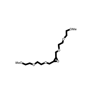 COCCOCCOCC1OC1COCCOCCOC